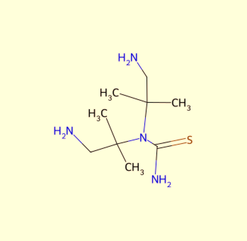 CC(C)(CN)N(C(N)=S)C(C)(C)CN